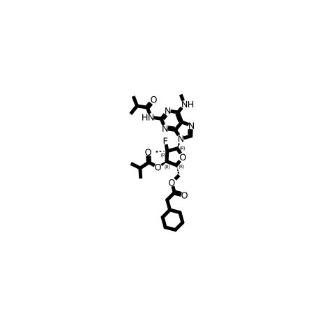 CNc1nc(NC(=O)C(C)C)nc2c1ncn2[C@@H]1O[C@H](COC(=O)CC2CCCCC2)[C@@H](OC(=O)C(C)C)[C@@]1(C)F